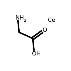 NCC(=O)O.[Ce]